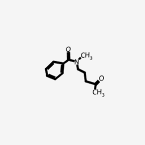 CC(=O)CCCN(C)C(=O)c1ccccc1